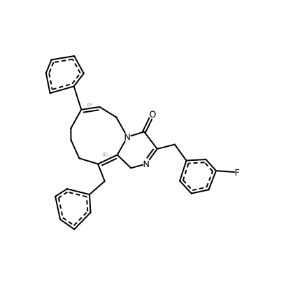 O=C1C(Cc2cccc(F)c2)=NC/C2=C(\Cc3ccccc3)CCC/C(c3ccccc3)=C\CN12